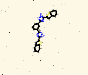 c1cc(-c2n[nH]c(-c3cc4ccccc4s3)n2)cc(-c2n[nH]c(-c3cc4ccccc4s3)n2)c1